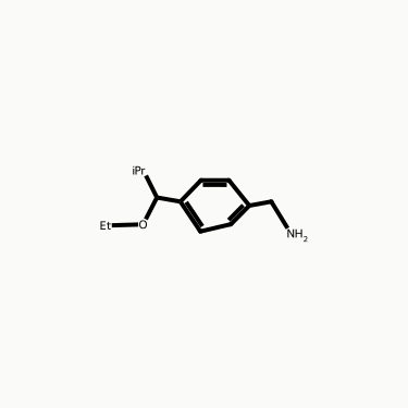 CCOC(c1ccc(CN)cc1)C(C)C